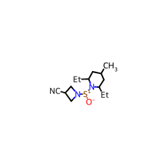 CCC1CC(C)CC(CC)N1[S+]([O-])N1CC(C#N)C1